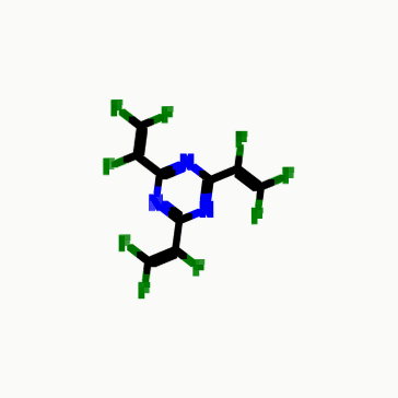 FC(F)=C(F)c1nc(C(F)=C(F)F)nc(C(F)=C(F)F)n1